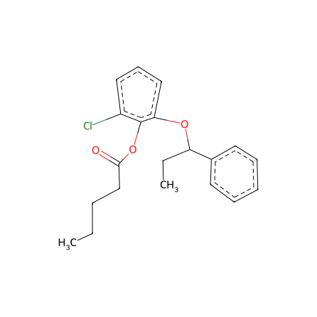 CCCCC(=O)Oc1c(Cl)cccc1OC(CC)c1ccccc1